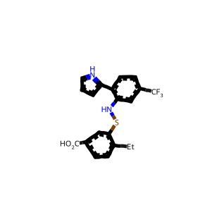 CCc1ccc(C(=O)O)cc1SNc1cc(C(F)(F)F)ccc1-c1ccc[nH]1